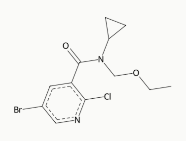 CCOCN(C(=O)c1cc(Br)cnc1Cl)C1CC1